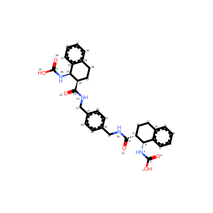 O=C(O)N[C@H]1c2ccccc2CC[C@H]1C(=O)NCc1ccc(CNC(=O)[C@@H]2CCc3ccccc3[C@@H]2NC(=O)O)cc1